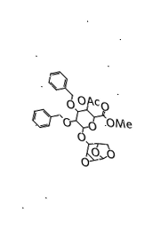 COC(=O)C1OC(OC2C3COC(O3)C3OC23)C(OCc2ccccc2)C(OCc2ccccc2)C1OC(C)=O